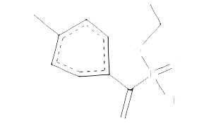 C=C(c1ccc(Cl)cc1)P(=O)(O)OCC